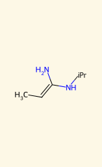 CC=C(N)NC(C)C